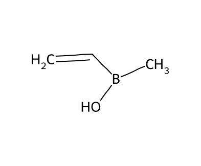 C=CB(C)O